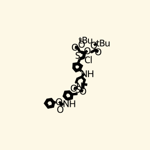 CC(C)(C)OC(=O)COc1c(C(=O)OC(C)(C)C)sc(-c2cccc(NC3CCN(S(=O)(=O)Cc4cccc(NC(=O)Oc5ccccc5)c4)C(C)(C)C3)c2)c1Cl